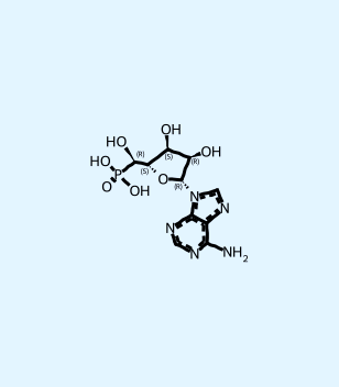 Nc1ncnc2c1ncn2[C@@H]1O[C@H]([C@H](O)P(=O)(O)O)[C@@H](O)[C@H]1O